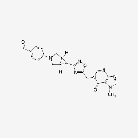 Cn1cnc2ncn(Cc3nc(C4[C@H]5CN(c6ccc(C=O)cc6)C[C@@H]45)no3)c(=O)c21